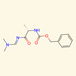 C[C@H](NC(=O)OCc1ccccc1)C(=O)/N=C/N(C)C